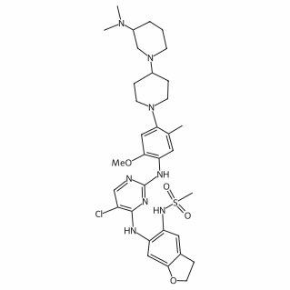 COc1cc(N2CCC(N3CCCC(N(C)C)C3)CC2)c(C)cc1Nc1ncc(Cl)c(Nc2cc3c(cc2NS(C)(=O)=O)CCO3)n1